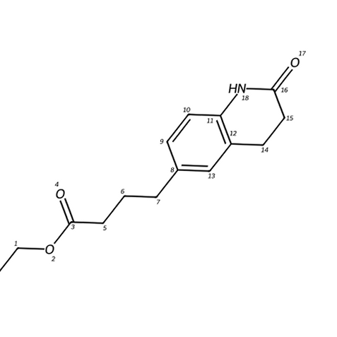 CCOC(=O)CCCc1ccc2c(c1)CCC(=O)N2